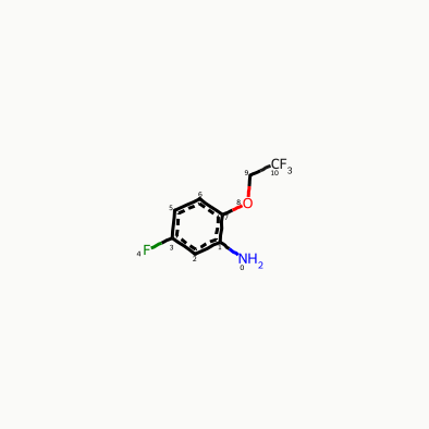 Nc1cc(F)ccc1OCC(F)(F)F